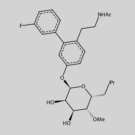 CO[C@@H]1[C@@H](O)[C@@H](O)[C@@H](Oc2ccc(CCNC(C)=O)c(-c3cccc(F)c3)c2)O[C@@H]1CC(C)C